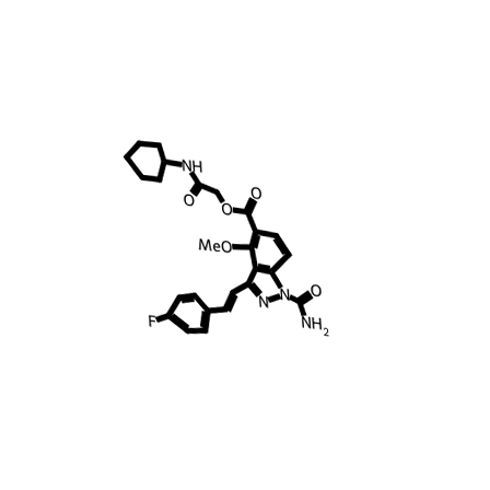 COc1c(C(=O)OCC(=O)NC2CCCCC2)ccc2c1c(C=Cc1ccc(F)cc1)nn2C(N)=O